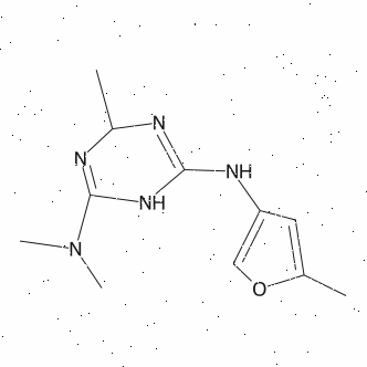 Cc1cc(NC2=NC(C)N=C(N(C)C)N2)co1